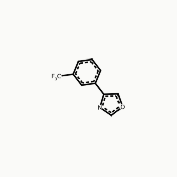 FC(F)(F)c1cccc(-c2co[c]n2)c1